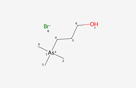 C[As+](C)(C)CCCO.[Br-]